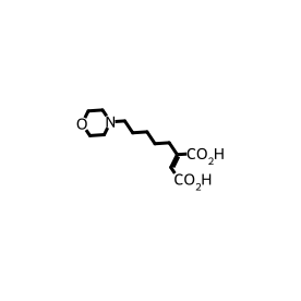 O=C(O)C=C(CCCCCN1CCOCC1)C(=O)O